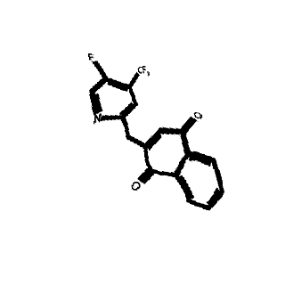 O=C1C=C(Cc2cc(C(F)(F)F)c(F)cn2)C(=O)c2ccccc21